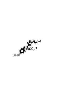 COc1ccc(C[C@H](NC(=O)O)c2nnc(CCO)s2)cc1